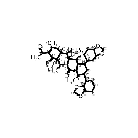 CC(=O)C1=C(C)CC2(C)C(C)C3(C)C(C)C4C(C5CCC6OCOC6C5)CC(C5CCCC6OCOC65)C(C)C4C(=O)C3C(C)C2(C)C1=O